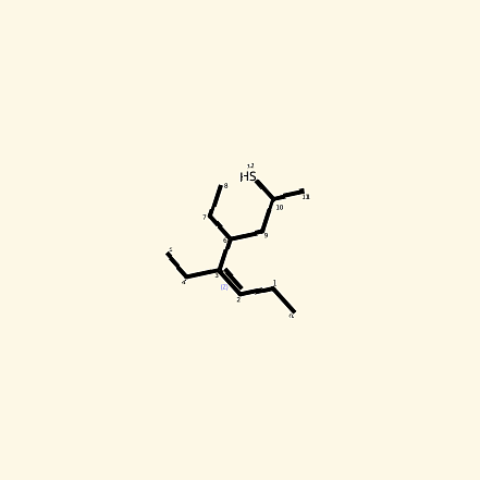 CC/C=C(/CC)C(CC)CC(C)S